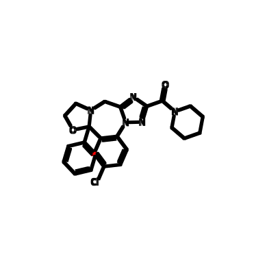 O=C(c1nc2n(n1)-c1ccc(Cl)cc1C1(c3ccccc3)OCCN1C2)N1CCCCC1